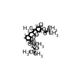 Cc1c(Cc2cccc(S(=O)(=O)N(C)CC(=O)N(C)C)c2)c(=O)oc2cc(OC(=O)N(C)C)c(Cl)cc12